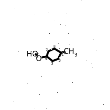 CC1CCC(OO)CC1